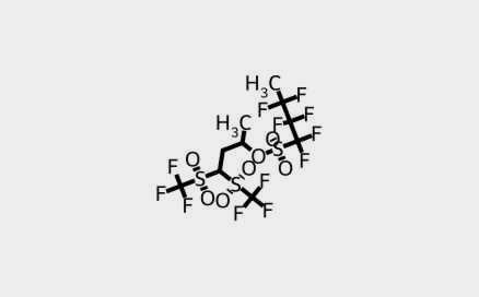 CC(CC(S(=O)(=O)C(F)(F)F)S(=O)(=O)C(F)(F)F)OS(=O)(=O)C(F)(F)C(F)(F)C(C)(F)F